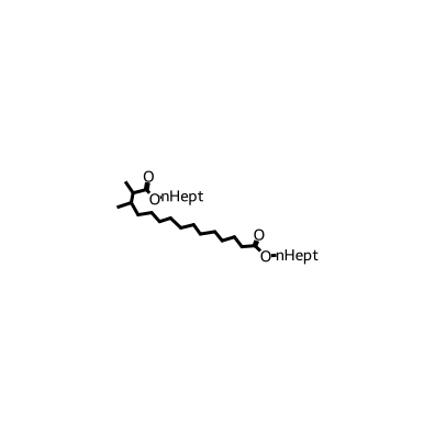 CCCCCCCOC(=O)CCCCCCCCCCCC(C)C(C)C(=O)OCCCCCCC